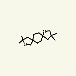 CC1(C)COC2(CCC3(CC2)COC(C)(C)C3)C1